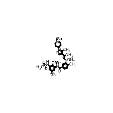 COc1c(NC(=O)c2ccc(C)c(N(N)/C=C(\N)c3cnn(C4CCN(C(C)(C)C)CC4)c3C)c2)cc(C(C)(C)C)cc1NS(C)(=O)=O